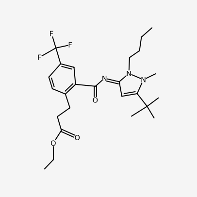 CCCCn1/c(=N/C(=O)c2cc(C(F)(F)F)ccc2CCC(=O)OCC)cc(C(C)(C)C)n1C